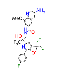 COc1cc(C(=O)NCC(O)(c2cc3c(c(-c4ccc(F)cc4)n2)OCC3(CF)CF)C(F)(F)F)cc2cc(N)cnc12